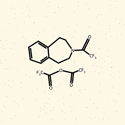 O=C(N1CCc2ccccc2CC1)C(F)(F)F.O=C(OC(=O)C(F)(F)F)C(F)(F)F